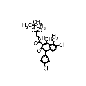 Cc1c(Cl)ccc2c1C(O)=C(C(=O)NCC(=O)OC(C)(C)C)C(=O)C2c1ccc(Cl)cc1